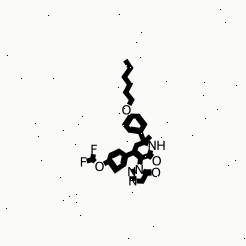 CCCCCCOc1ccc(C2(C)CC(c3ccc(OC(F)F)cc3)=C(N3N=NCC3=O)C(=O)N2)cc1